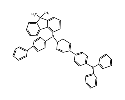 CC1(C)c2ccccc2-c2c(N(c3ccc(-c4ccccc4)cc3)C3C=CC(c4ccc(N(c5ccccc5)c5ccccc5)cc4)=CC3)cccc21